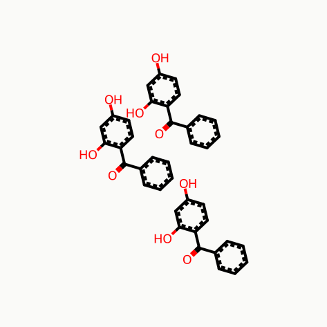 O=C(c1ccccc1)c1ccc(O)cc1O.O=C(c1ccccc1)c1ccc(O)cc1O.O=C(c1ccccc1)c1ccc(O)cc1O